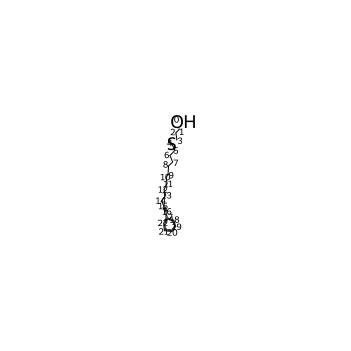 OCCCSCCCCCCCCCCC#Cc1ccccc1